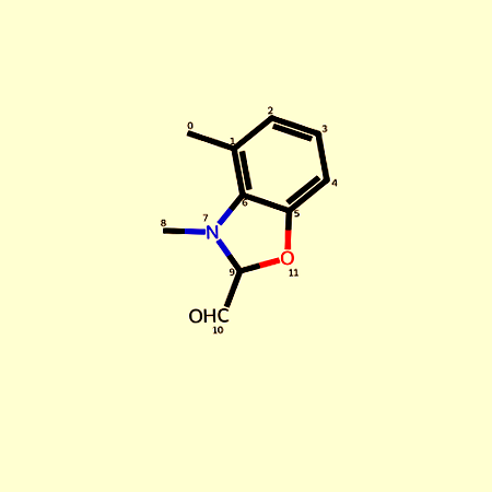 Cc1cccc2c1N(C)C(C=O)O2